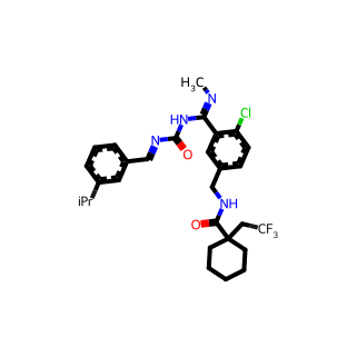 C/N=C(\NC(=O)/N=C/c1cccc(C(C)C)c1)c1cc(CNC(=O)C2(CC(F)(F)F)CCCCC2)ccc1Cl